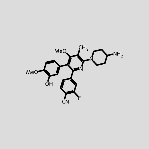 COc1ccc(-c2c(-c3ccc(C#N)c(F)c3)nc(N3CCC(N)CC3)c(C)c2OC)cc1O